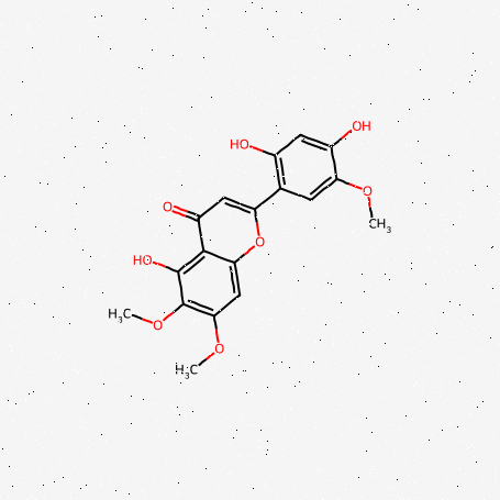 COc1cc(-c2cc(=O)c3c(O)c(OC)c(OC)cc3o2)c(O)cc1O